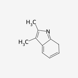 CC1=C(C)C2=CC=CCC2=N1